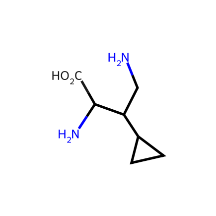 NCC(C1CC1)C(N)C(=O)O